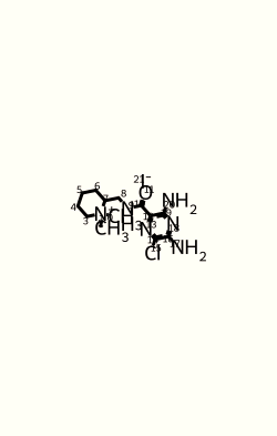 C[N+]1(C)CCCCC1CNC(=O)c1nc(Cl)c(N)nc1N.[I-]